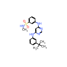 CNS(=O)(=O)c1cccc(Nc2cc(Nc3cccc(C(C)(C)C)c3)ncn2)c1